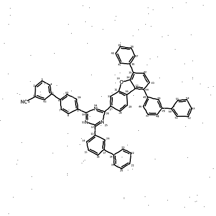 N#Cc1cccc(-c2ccc(-c3nc(-c4cccc(-c5ccccc5)c4)nc(-c4ccc5c(c4)oc4c(-c6ccccc6)ccc(-c6cccc(-c7ccccc7)c6)c45)n3)cc2)c1